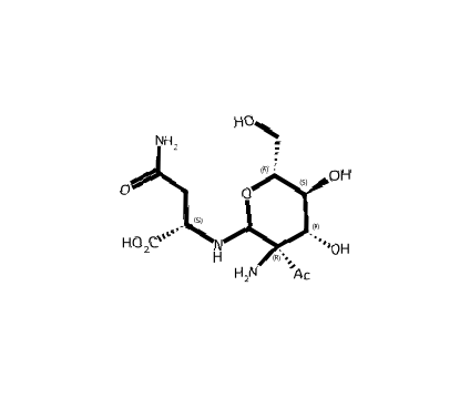 CC(=O)[C@]1(N)C(N[C@@H](CC(N)=O)C(=O)O)O[C@H](CO)[C@@H](O)[C@@H]1O